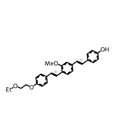 CCOCCOc1ccc(/C=C/c2ccc(/C=C/c3ccc(O)cc3)cc2OC)cc1